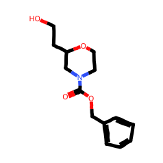 O=C(OCc1ccccc1)N1CCOC(CCO)C1